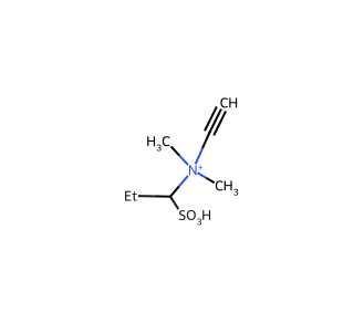 C#C[N+](C)(C)C(CC)S(=O)(=O)O